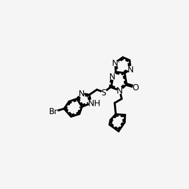 O=c1c2nccnc2nc(SCc2nc3cc(Br)ccc3[nH]2)n1CCc1ccccc1